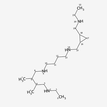 CCNCC(C)C(C)CNCCCCNCC1CC1CNCC